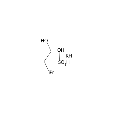 CC(C)CCO.O=S(=O)(O)O.[KH]